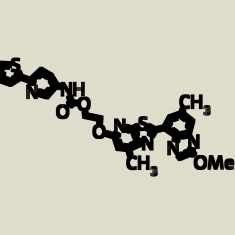 COc1cnc2c(-c3nc4c(C)cc(OCCOC(=O)Nc5ccc(-c6cccs6)nc5)nc4s3)cc(C)cc2n1